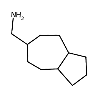 NCC1CCC2CCCC2CC1